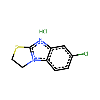 Cl.Clc1ccc2c(c1)nc1n2CCS1